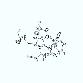 C=CCNc1nc2ccccc2n1[C@H]1O[C@@H](COC(C)=O)[C@H](OC(C)=O)[C@@H]1OC(C)=O